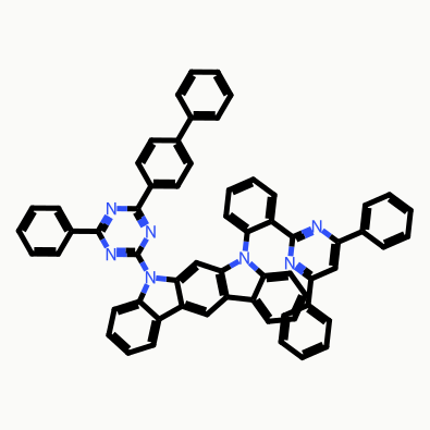 c1ccc(-c2ccc(-c3nc(-c4ccccc4)nc(-n4c5ccccc5c5cc6c7ccccc7n(-c7ccccc7-c7nc(-c8ccccc8)cc(-c8ccccc8)n7)c6cc54)n3)cc2)cc1